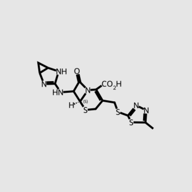 Cc1nnc(SCC2=C(C(=O)O)N3C(=O)C(NC4=NC5CC5N4)[C@@H]3SC2)s1